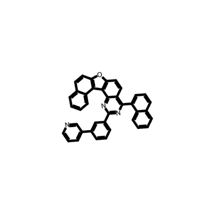 c1cncc(-c2cccc(-c3nc(-c4cccc5ccccc45)c4ccc5oc6ccc7ccccc7c6c5c4n3)c2)c1